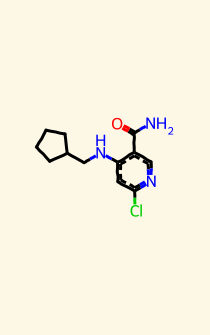 NC(=O)c1cnc(Cl)cc1NCC1CCCC1